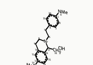 CNc1ccc(CCN2CCc3cc(OC)ccc3C2C)cc1.Cl